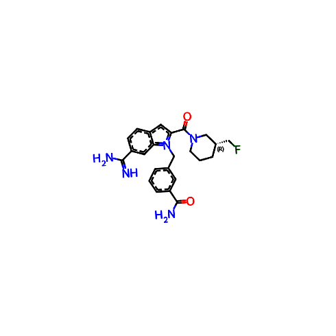 N=C(N)c1ccc2cc(C(=O)N3CCC[C@@H](CF)C3)n(Cc3cccc(C(N)=O)c3)c2c1